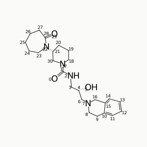 O=C(NC[C@H](O)CN1CCc2ccccc2C1)N1CCC[C@@H](N2CCCCCC2=O)C1